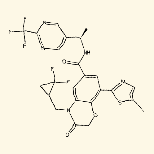 Cc1cnc(-c2cc(C(=O)N[C@H](C)c3cnc(C(F)(F)F)nc3)cc3c2OCC(=O)N3CC2CC2(F)F)s1